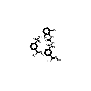 CC(=NO)c1cccc(S(=O)(=O)NC(=O)Nc2c(C(C)C)cccc2C(C)C)c1.CC(=NO)c1cccc(S(N)(=O)=O)c1